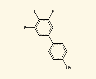 CCCc1ccc(-c2cc(F)c(I)c(F)c2)cc1